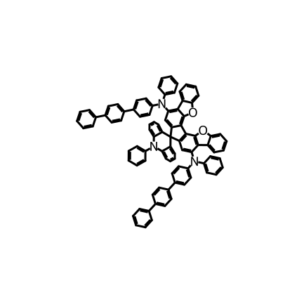 c1ccc(-c2ccc(-c3ccc(N(c4ccccc4)c4cc5c(c6oc7ccccc7c46)-c4c(cc(N(c6ccccc6)c6ccc(-c7ccc(-c8ccccc8)cc7)cc6)c6c4oc4ccccc46)C54c5ccccc5N(c5ccccc5)c5ccccc54)cc3)cc2)cc1